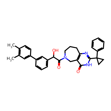 Cc1ccc(-c2cccc(C(O)C(=O)N3CCCc4nc(C5(c6ccccc6)CC5)[nH]c(=O)c4C3)c2)cc1C